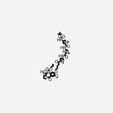 C=CCOC(=O)N1c2cc(OCCCCC(=O)c3cc(NC(=O)c4nc(NC(=O)c5cc(NC(=O)OC(C)(C)C)cn5C)cn4C)cn3C)c(OC)cc2C(=O)N2CCC[C@H]2[C@@H]1O